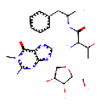 CC(O)C(N)C(=O)NC(Cc1ccccc1)C(=O)O.Cn1c(N)nc2c(ncn2[C@@H]2O[C@H](CO)[C@@H](O)[C@H]2O)c1=O